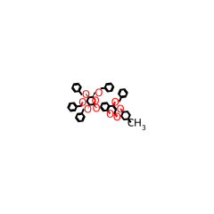 CC1CCC(Oc2c(OCc3ccccc3)c3ccc(O[C@@H]4O[C@H](COCc5ccccc5)[C@H](OCc5ccccc5)[C@H](OCc5ccccc5)[C@H]4OCc4ccccc4)cc3oc2=O)CC1